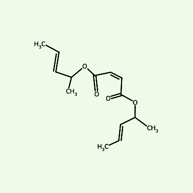 C/C=C/C(C)OC(=O)/C=C\C(=O)OC(C)/C=C/C